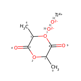 CC1OC(=O)C(C)OC1=O.[O-2].[O-2].[Ti+4]